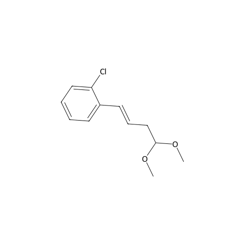 COC(C/C=C/c1ccccc1Cl)OC